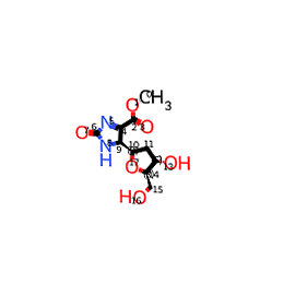 COC(=O)C1=NC(=O)NC1[C@H]1C[C@H](O)[C@@H](CO)O1